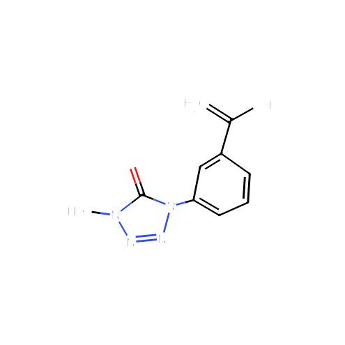 C=C(C)c1cccc(-n2nnn(C)c2=O)c1